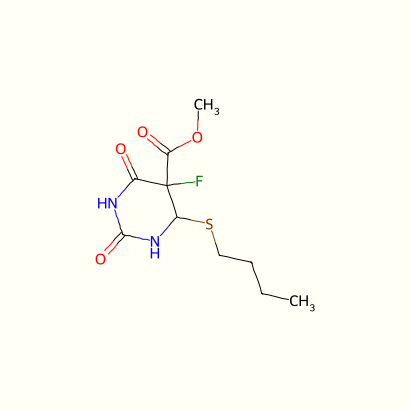 CCCCSC1NC(=O)NC(=O)C1(F)C(=O)OC